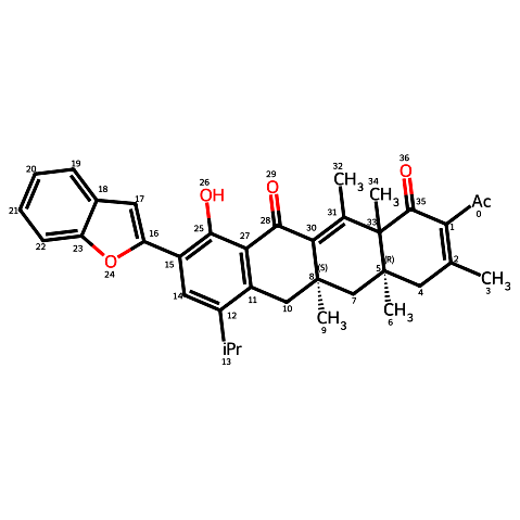 CC(=O)C1=C(C)C[C@@]2(C)C[C@@]3(C)Cc4c(C(C)C)cc(-c5cc6ccccc6o5)c(O)c4C(=O)C3=C(C)C2(C)C1=O